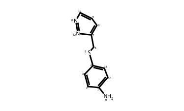 Nc1ccc(SCc2cccnn2)cc1